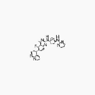 Cc1nc(NC23CCC(Nc4ncccn4)(CC2)C3)nc2ccc(-c3ccnc4ncccc34)c(F)c12